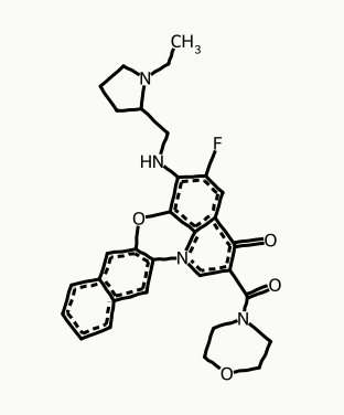 CCN1CCCC1CNc1c(F)cc2c(=O)c(C(=O)N3CCOCC3)cn3c2c1Oc1cc2ccccc2cc1-3